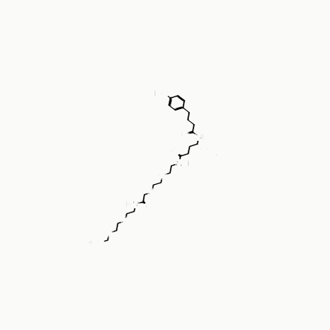 Cc1ccc(CCCC(=O)N[C@@H](CCC(=O)NCCOCCOCC(=O)NCCOCCOC[C]=O)C(=O)O)cc1